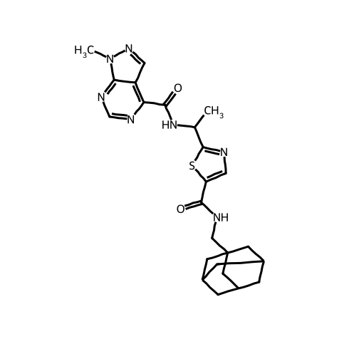 CC(NC(=O)c1ncnc2c1cnn2C)c1ncc(C(=O)NCC23CC4CC(CC(C4)C2)C3)s1